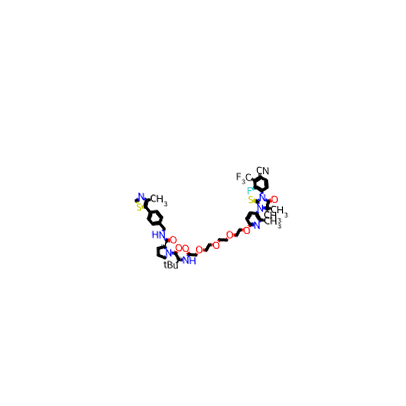 Cc1nc(OCCOCCOCCOCC(=O)N[C@H](C(=O)N2CCC[C@H]2C(=O)NCc2ccc(-c3scnc3C)cc2)C(C)(C)C)ccc1N1C(=S)N(c2ccc(C#N)c(C(F)(F)F)c2F)C(=O)C1(C)C